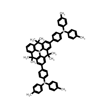 Cc1ccc(N(c2ccc(C)cc2)c2ccc(-c3cc4c5c(c3)C(C)(C)c3cc(-c6ccc(N(c7ccc(C)cc7)c7ccc(C)cc7)cc6)cc6c3N5c3c(cccc3C6(C)C)C4(C)C)cc2)cc1